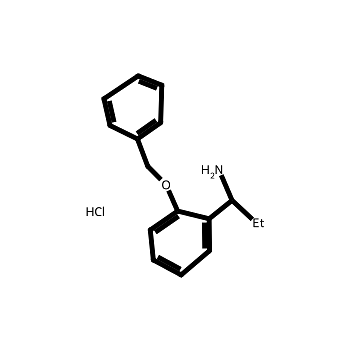 CCC(N)c1ccccc1OCc1ccccc1.Cl